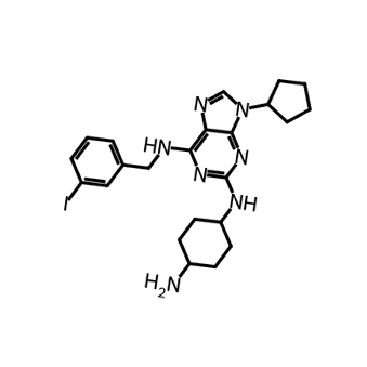 NC1CCC(Nc2nc(NCc3cccc(I)c3)c3ncn(C4CCCC4)c3n2)CC1